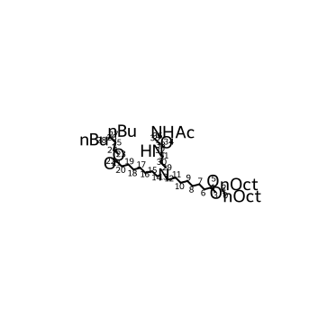 CCCCCCCCC(CCCCCCCC)OC(=O)CCCCCCCN(CCCCCCCC(=O)OCCC(CCCC)CCCC)CCCNC(=O)CNC(C)=O